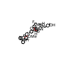 CCOc1nc2[nH]cc(F)c2cc1Oc1cc(N2CCC3(CC2)CC(N2C4CCC([C@@H]2c2ccccc2C(C)C)N(Cc2ccc(OC)cc2)C4)C3)ccc1C(=O)NS(=O)(=O)c1cnc(NCC2CCC(C)(O)CC2)c([N+](=O)[O-])c1